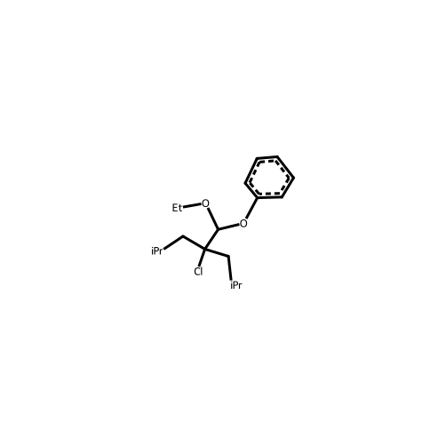 CCOC(Oc1ccccc1)C(Cl)(CC(C)C)CC(C)C